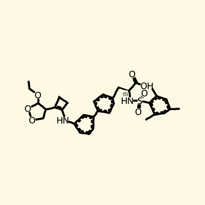 CCOC1OOCC1C1=C(Nc2cccc(-c3ccc(C[C@H](NS(=O)(=O)c4c(C)cc(C)cc4C)C(=O)O)cc3)c2)CC1